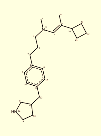 C/C(=C\N(C)CCCc1ccc(CC2CCNC2)cc1)C1CCC1